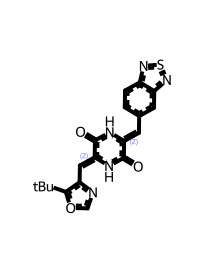 CC(C)(C)c1ocnc1/C=c1\[nH]c(=O)/c(=C/c2ccc3nsnc3c2)[nH]c1=O